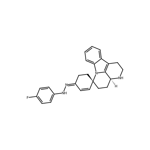 Fc1ccc(N/N=C2\C=C[C@@]3(CC2)CC[C@@H]2NCCc4c2n3c2ccccc42)cc1